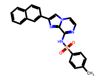 Cc1ccc(S(=O)(=O)Nc2nccn3cc(-c4ccc5ccccc5c4)nc23)cc1